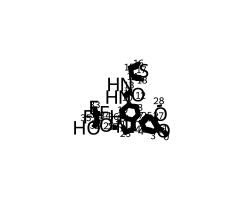 COc1ccc([C@@]23CC[C@@H](NC(=O)Nc4ccsc4)C[C@@H]2N(C)CC3)cc1OC.O=C(O)C(F)(F)F